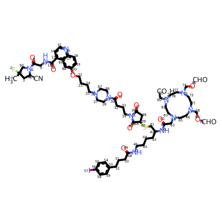 CC1(F)C[C@H](C#N)N(C(=O)CNC(=O)c2ccnc3ccc(OCCCCN4CCN(C(=O)CCCN5C(=O)CC(SCC(CCCCNC(=O)CCCc6ccc(I)cc6)NC(=O)CN6CCN(COC=O)CCN(COC=O)CCN(CC(=O)O)CC6)C5=O)CC4)cc23)C1